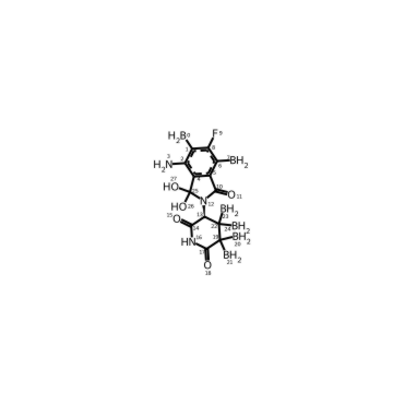 Bc1c(N)c2c(c(B)c1F)C(=O)N([C@@H]1C(=O)NC(=O)C(B)(B)C1(B)B)C2(O)O